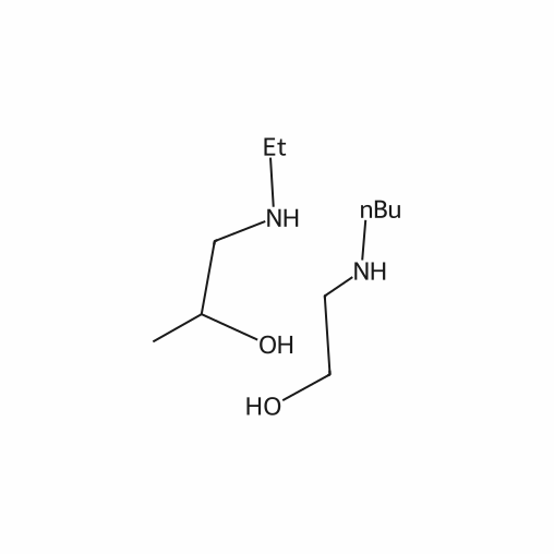 CCCCNCCO.CCNCC(C)O